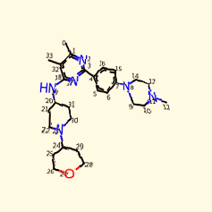 Cc1nc(-c2ccc(N3CCN(C)CC3)cc2)nc(NC2CCN(C3CCOCC3)CC2)c1C